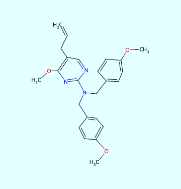 C=CCc1cnc(N(Cc2ccc(OC)cc2)Cc2ccc(OC)cc2)nc1OC